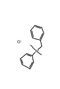 C[N+](C)(Cc1ccccc1)c1ccccc1.[Cl-]